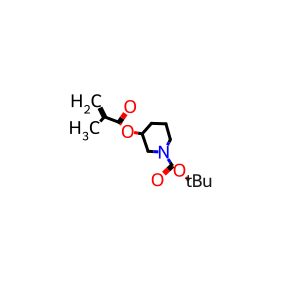 C=C(C)C(=O)OC1CCCN(C(=O)OC(C)(C)C)C1